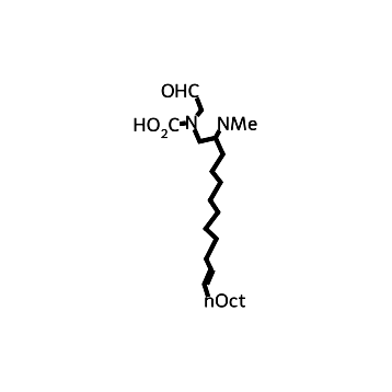 CCCCCCCC/C=C/CCCCCCCCC(CN(CC=O)C(=O)O)NC